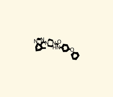 Cc1cccc2ncnc(N3CCN(C(=O)Nc4ccc(Oc5ccccc5)cc4)CC3)c12